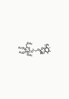 CC(=O)OCC1O[C@H](OCCOC(=O)Oc2c(C(C)C)cccc2C(C)C)[C@H](OC(C)=O)C(OC(C)=O)[C@@H]1OC(C)=O